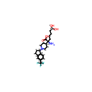 NC(CCCCB(O)O)(C(=O)O)C1CCN(C2CCc3cc(C(F)(F)F)ccc32)CC1